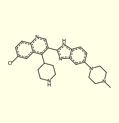 CN1CCN(c2ccc3[nH]c(-c4cnc5ccc(Cl)cc5c4C4CCNCC4)nc3c2)CC1